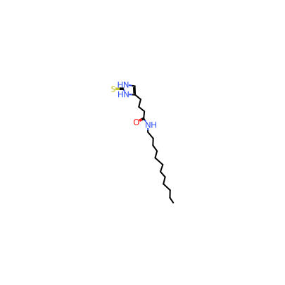 CCCCCCCCCCCCNC(=O)CCCc1c[nH]c(=S)[nH]1